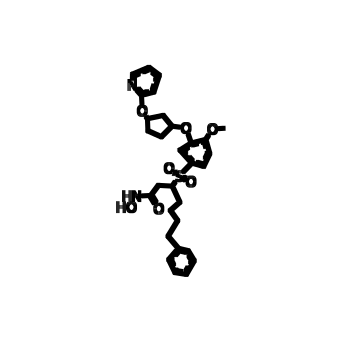 COc1ccc(S(=O)(=O)C(CCCCc2ccccc2)CC(=O)NO)cc1OC1CCC(Oc2ccccn2)C1